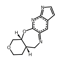 C1=Cc2cc3c(nc2=N1)O[C@H]1COCC[C@H]1CN=3